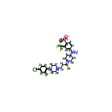 O=[N+]([O-])c1ccc(NC2CCN(C(=S)CCN3CCN(c4ccc(Cl)cc4F)CC3)CC2)cc1C(F)(F)F